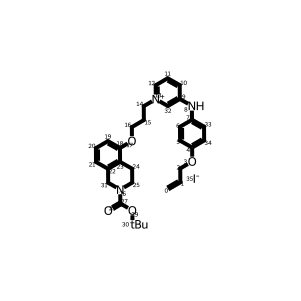 C=CCOc1ccc(Nc2ccc[n+](CCCOc3cccc4c3CCN(C(=O)OC(C)(C)C)C4)c2)cc1.[I-]